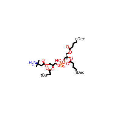 CCCCCCCCCCCCCC(=O)OC[C@H](COP(=O)(O)OCC(COC(=O)CC(C)(C)N)OC(=O)CC(C)(C)C)OC(=O)CCCCCCCCCCCCC